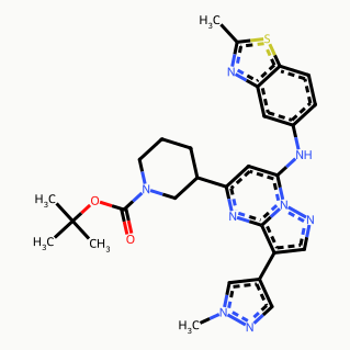 Cc1nc2cc(Nc3cc(C4CCCN(C(=O)OC(C)(C)C)C4)nc4c(-c5cnn(C)c5)cnn34)ccc2s1